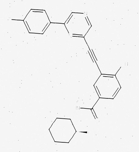 Cc1ccc(C(=O)N[C@H]2CCCC[C@@H]2O)cc1C#Cc1cncc(-c2ccc(F)cc2)n1